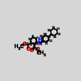 COC(=O)c1cccc(Nc2ccc(C3CCCCC3)cc2)c1C(=O)OC